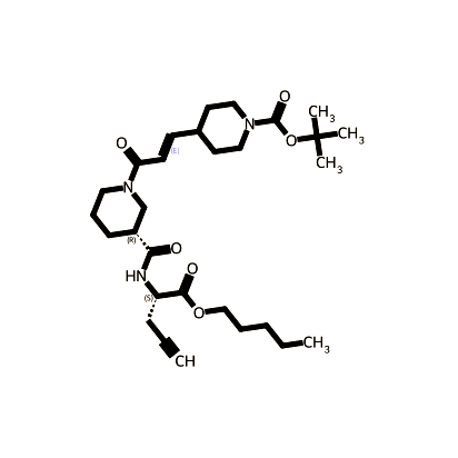 C#CC[C@H](NC(=O)[C@@H]1CCCN(C(=O)/C=C/C2CCN(C(=O)OC(C)(C)C)CC2)C1)C(=O)OCCCCC